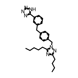 CCCCCc1nc(CCCC)nn1Cc1ccc(Cc2cccc(-c3nnn[nH]3)c2)cc1